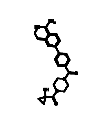 NC1=c2ccc(-c3ccc(C(=O)N4CCN(C(=O)C5(O)CC5)CC4)cc3)cc2=CCN1